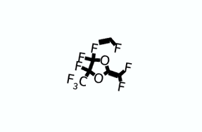 C=CF.FC(F)=C1OC(F)(F)C(F)(C(F)(F)F)O1